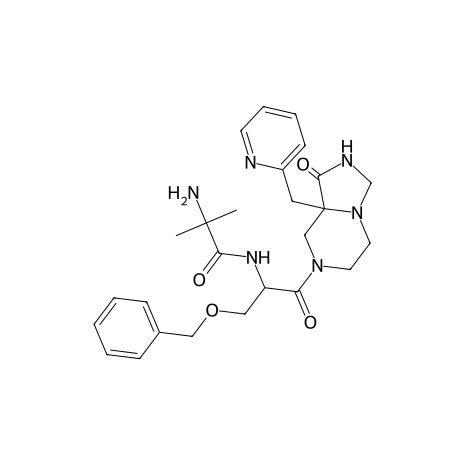 CC(C)(N)C(=O)NC(COCc1ccccc1)C(=O)N1CCN2CNC(=O)C2(Cc2ccccn2)C1